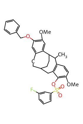 COc1cc2c(cc1OCc1ccccc1)CCC1CCC2C(C)c2ccc(OC)c(OS(=O)(=O)c3cccc(F)c3)c2C1